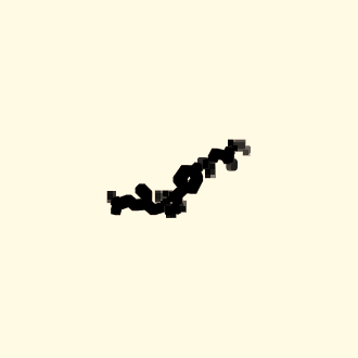 C=C/C(=C\C=C(/C)F)CN1N=NC(c2ccc(SNCC(N)=O)cc2)N1